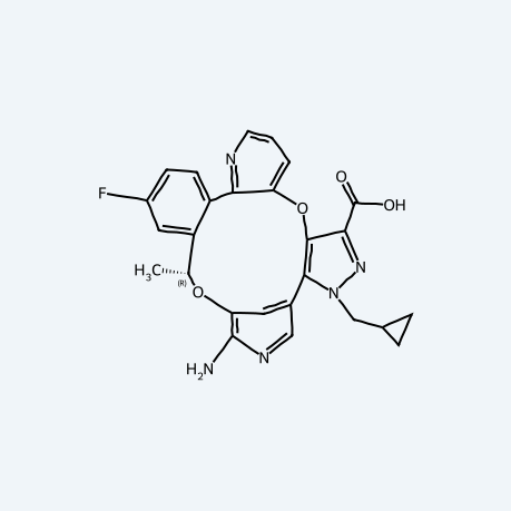 C[C@H]1Oc2cc(cnc2N)-c2c(c(C(=O)O)nn2CC2CC2)Oc2cccnc2-c2ccc(F)cc21